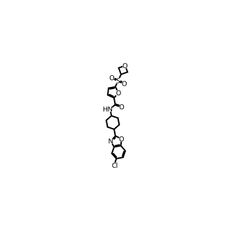 O=C(NC1CCC(c2nc3cc(Cl)ccc3o2)CC1)c1ccc(S(=O)(=O)C2COC2)o1